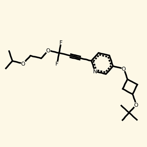 CC(C)OCCOC(F)(F)C#Cc1ccc(OC2CC(OC(C)(C)C)C2)cn1